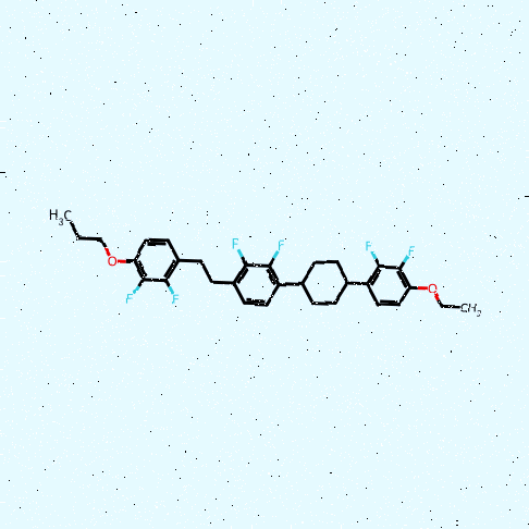 CCCOc1ccc(CCc2ccc(C3CCC(c4ccc(OCC)c(F)c4F)CC3)c(F)c2F)c(F)c1F